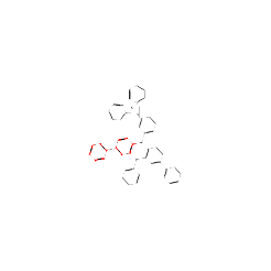 c1ccc(-c2ccc3c(c2)C2(c4ccccc4)c4cc(-c5ccccc5)ccc4C3(c3cccc(-n4c5ccccc5c5ccccc54)c3)c3ccc(-c4ccccc4)cc32)cc1